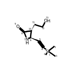 C[Si](C)(C)C#C[C@H]1NC(=O)[C@@H]1CCO